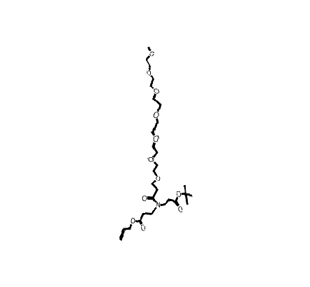 C=CCOC(=O)CCN(CCC(=O)OC(C)(C)C)C(=O)CCOCCOCCOCCOCCOCCOCCOC